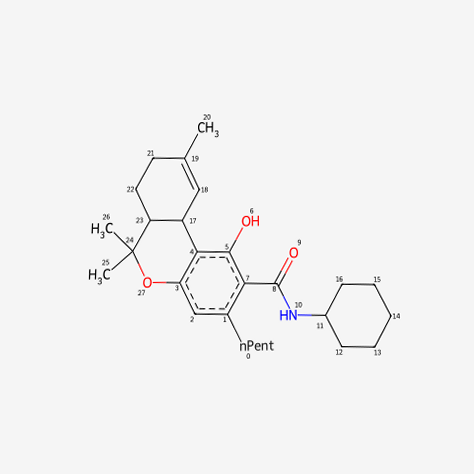 CCCCCc1cc2c(c(O)c1C(=O)NC1CCCCC1)C1C=C(C)CCC1C(C)(C)O2